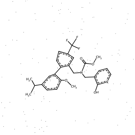 COC(=O)N(Cc1cc(C(F)(F)F)ccc1-c1cc(C(C)C)ccc1OC)Cc1cccnc1O